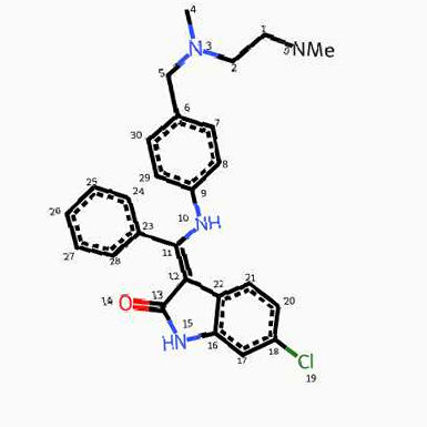 CNCCN(C)Cc1ccc(NC(=C2C(=O)Nc3cc(Cl)ccc32)c2ccccc2)cc1